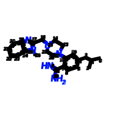 CC(C)Cc1ccc(C(=N)N)c(N2CCN(Cc3nc4ccccc4n3C)CC2)c1